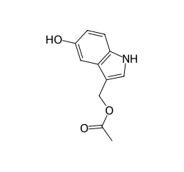 CC(=O)OCc1c[nH]c2ccc(O)cc12